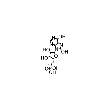 O=P(O)(O)OC[C@H]1O[C@@H](n2c(O)nc3c(O)ncnc32)[C@H](O)[C@@H]1O